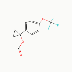 O=COC1(c2ccc(OC(F)(F)F)cc2)CC1